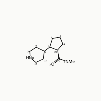 CNC(=O)[C@@H]1CCCC1C1CCNCC1